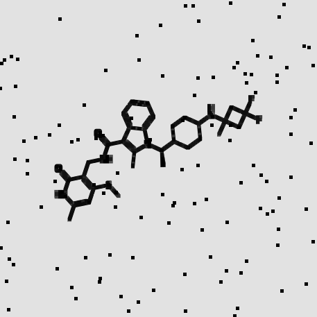 CSc1cc(C)[nH]c(=O)c1CNC(=O)c1c(C)n([C@H](C)C2CCC(NC3(C)CC(F)(F)C3)CC2)c2ccccc12